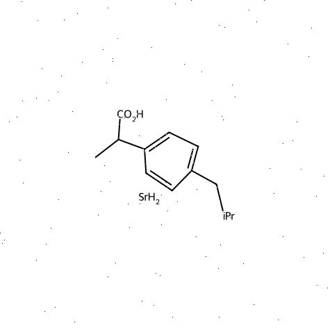 CC(C)Cc1ccc(C(C)C(=O)O)cc1.[SrH2]